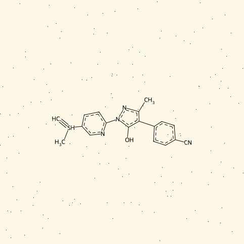 C#[SH](C)c1ccc(-n2nc(C)c(-c3ccc(C#N)cc3)c2O)nc1